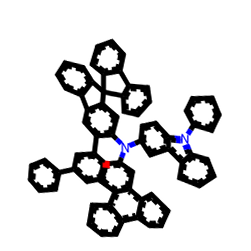 c1ccc(-c2cccc(-c3cc4c(cc3N(c3ccc5c6ccccc6c6ccccc6c5c3)c3ccc5c(c3)c3ccccc3n5-c3ccccc3)C3(c5ccccc5-c5ccccc53)c3ccccc3-4)c2)cc1